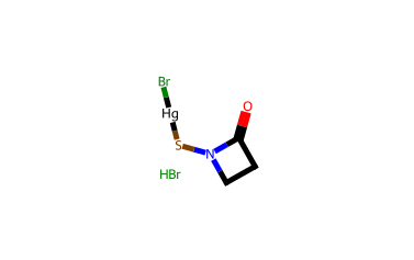 Br.O=C1CCN1[S][Hg][Br]